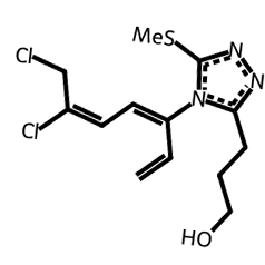 C=C/C(=C\C=C(\Cl)CCl)n1c(CCCO)nnc1SC